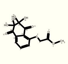 COC(=O)CSc1cccc2c1C(=O)C(O)(O)C(O)(O)C2=O